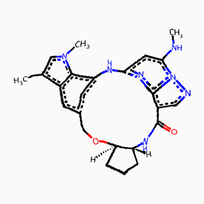 CNc1cc2nc3c(cnn13)C(=O)N[C@@H]1CCC[C@H]1OCc1cc(c3c(c1)c(C)cn3C)N2